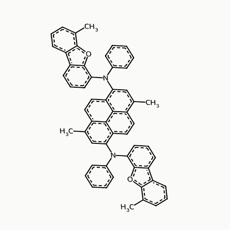 Cc1cc(N(c2ccccc2)c2cccc3c2oc2c(C)cccc23)c2ccc3c(C)cc(N(c4ccccc4)c4cccc5c4oc4c(C)cccc45)c4ccc1c2c34